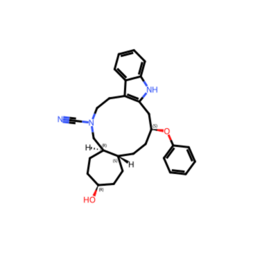 N#CN1CCc2c([nH]c3ccccc23)C[C@@H](Oc2ccccc2)CC[C@@H]2CC[C@@H](O)CC[C@H]2C1